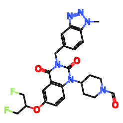 Cn1nnc2cc(Cn3c(=O)c4cc(OC(CF)CF)ccc4n(C4CCN(C=O)CC4)c3=O)ccc21